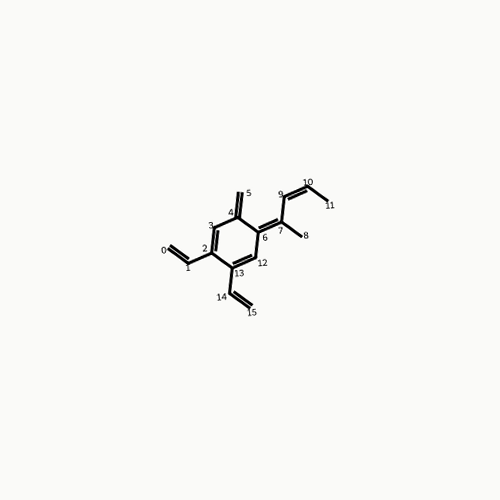 C=Cc1cc(=C)/c(=C(C)\C=C/C)cc1C=C